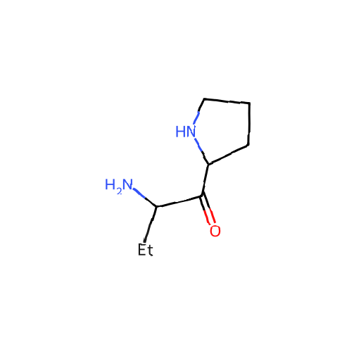 CCC(N)C(=O)C1CCCN1